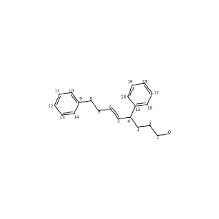 CCCCC(C=CCCc1ccccc1)c1ccccc1